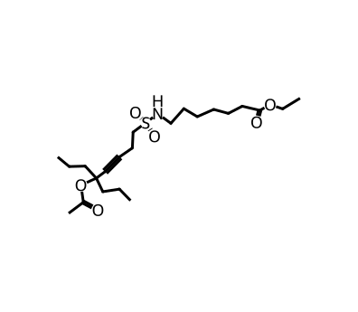 CCCC(C#CCCS(=O)(=O)NCCCCCCC(=O)OCC)(CCC)OC(C)=O